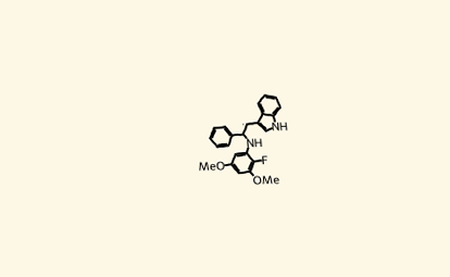 COc1cc(NC([CH]c2c[nH]c3ccccc23)c2ccccc2)c(F)c(OC)c1